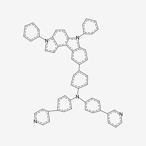 c1ccc(-n2ccc3c4c5cc(-c6ccc(N(c7ccc(-c8ccncc8)cc7)c7ccc(-c8cccnc8)cc7)cc6)ccc5n(-c5ccccc5)c4ccc32)cc1